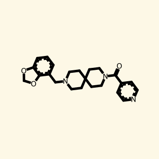 O=C(c1ccncc1)N1CCC2(CCN(Cc3cccc4c3OCO4)CC2)CC1